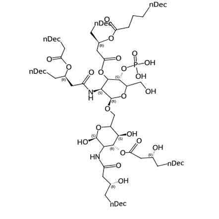 CCCCCCCCCCCCCC(=O)O[C@H](CCCCCCCCCCC)CC(=O)OC1[C@H](OP(=O)(O)O)C(CO)O[C@@H](OCC2O[C@H](O)C(NC(=O)C[C@H](O)CCCCCCCCCCC)[C@@H](OC(=O)C[C@H](O)CCCCCCCCCCC)[C@@H]2O)[C@H]1NC(=O)C[C@@H](CCCCCCCCCCC)OC(=O)CCCCCCCCCCC